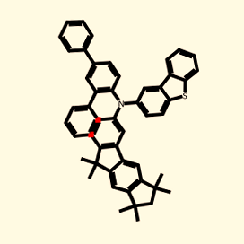 CC1(C)CC(C)(C)c2cc3c(cc21)-c1cc(N(c2ccc4sc5ccccc5c4c2)c2ccc(-c4ccccc4)cc2-c2ccccc2)ccc1C3(C)C